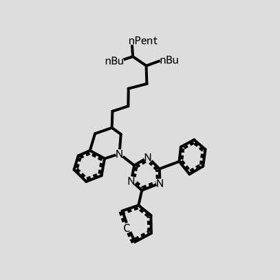 CCCCCC(CCCC)C(CCCC)CCCCC1Cc2ccccc2N(c2nc(-c3ccccc3)nc(-c3ccccc3)n2)C1